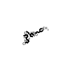 CN1CCC(CCC(=O)Nc2cc(N3CCOc4cnc(-c5nc(Cl)ccc5F)cc43)ccn2)CC1